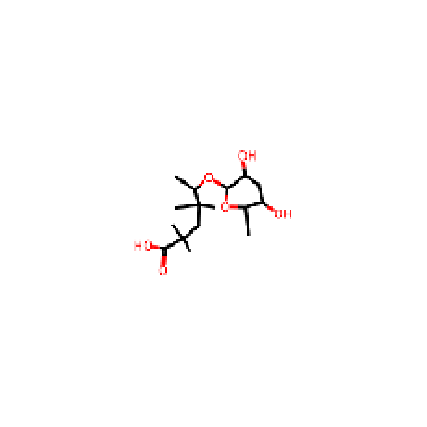 CC1OC(OC(C)C(C)(C)CC(C)(C)C(=O)O)C(O)CC1O